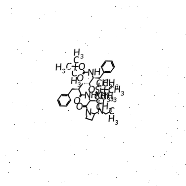 CCNC1CCN1C(=O)[C@@H](NC(=O)[C@@H](Cc1ccccc1)C[C@@H](O[Si](C)(C)C(C)(C)C)[C@H](Cc1ccccc1)NC(=O)OC(C)(C)C)C(C)C